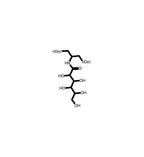 CCCCCCCCCCCC(CCCCCCCCCCC)NC(=O)C(O)C(O)C(O)C(O)CO